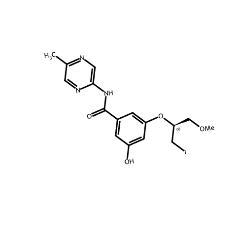 COC[C@@H](CI)Oc1cc(O)cc(C(=O)Nc2cnc(C)cn2)c1